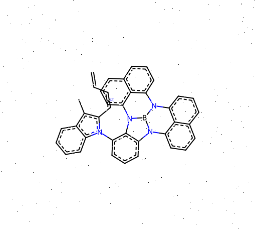 C=C/C=C\c1c(C)c2ccccc2n1-c1cccc2c1N1B3N2c2cccc4cccc(c24)N3c2cccc3cccc1c23